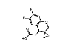 O=C(O)CC1c2cc(F)c(F)cc2OCC12CC2